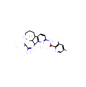 Cc1cc(Cl)cnc1C(=O)Nc1ccc(F)c([C@@]2(C)N=C(N)C(C)(C)[S@@]3(=O)=NCCCC[C@@H]23)n1